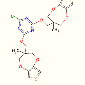 CC1(COc2nc(Cl)nc(OCC3(C)COc4cscc4OC3)n2)COc2cscc2OC1